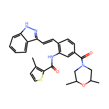 Cc1ccsc1C(=O)Nc1cc(C(=O)N2CC(C)OC(C)C2)ccc1C=Cc1n[nH]c2ccccc12